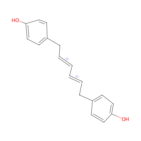 Oc1ccc(C/C=C/C=C/Cc2ccc(O)cc2)cc1